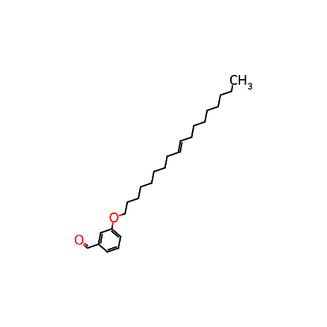 CCCCCCCC/C=C/CCCCCCCCOc1cccc(C=O)c1